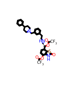 O=C(Oc1ccc([C@H](CNCCc2cccc(CN3CCC(c4ccccc4)CC3)c2)OC(=O)C(F)(F)F)c2sc(=O)[nH]c12)C(F)(F)F